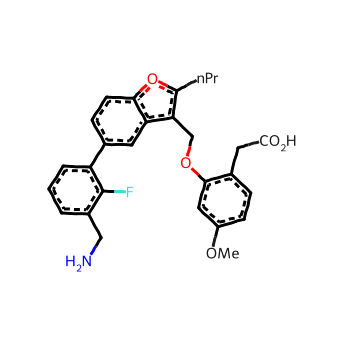 CCCc1oc2ccc(-c3cccc(CN)c3F)cc2c1COc1cc(OC)ccc1CC(=O)O